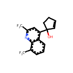 OC1(c2cc(C(F)(F)F)nc3c(C(F)(F)F)cccc23)C=CCC1